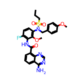 CCCS(=O)(=O)N(Cc1ccc(OC)cc1)c1ccc(F)c(NC(=O)c2cccc3c(N)ncnc23)c1OC